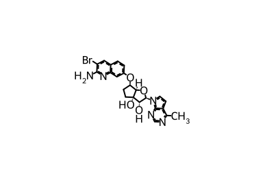 Cc1ncnc2c1ccn2[C@@H]1O[C@@H]2[C@H](Oc3ccc4cc(Br)c(N)nc4c3)CC[C@]2(O)[C@H]1O